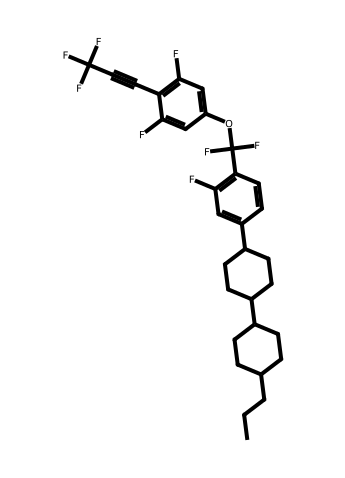 CCCC1CCC(C2CCC(c3ccc(C(F)(F)Oc4cc(F)c(C#CC(F)(F)F)c(F)c4)c(F)c3)CC2)CC1